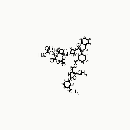 Cc1cccc(-c2nc(COCC3CCCC(N(Cc4ccccc4)C(=O)C4CCC4)C3)c(C)o2)c1.O=C(O)O.O=C1OC(=O)O[C@@H]2CC[C@@H]2O1